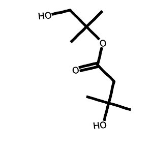 CC(C)(O)CC(=O)OC(C)(C)CO